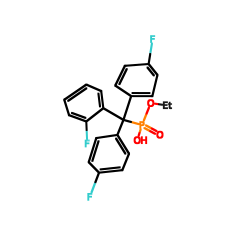 CCOP(=O)(O)C(c1ccc(F)cc1)(c1ccc(F)cc1)c1ccccc1F